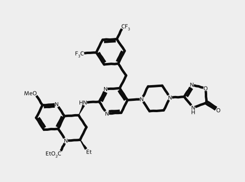 CCOC(=O)N1c2ccc(OC)nc2[C@@H](Nc2ncc(N3CCN(c4noc(=O)[nH]4)CC3)c(Cc3cc(C(F)(F)F)cc(C(F)(F)F)c3)n2)C[C@H]1CC